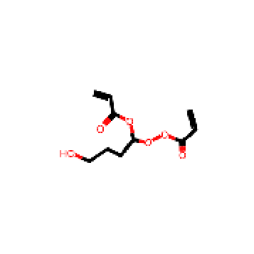 C=CC(=O)OOC(CCCO)OC(=O)C=C